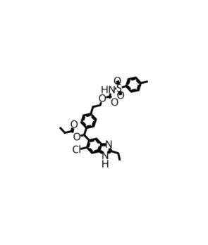 CCC(=O)OC(c1ccc(CCOC(=O)NS(=O)(=O)c2ccc(C)cc2)cc1)c1cc2nc(CC)[nH]c2cc1Cl